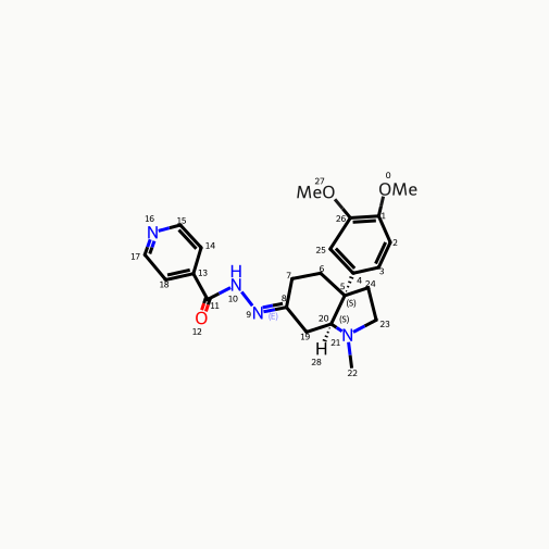 COc1ccc([C@@]23CC/C(=N\NC(=O)c4ccncc4)C[C@@H]2N(C)CC3)cc1OC